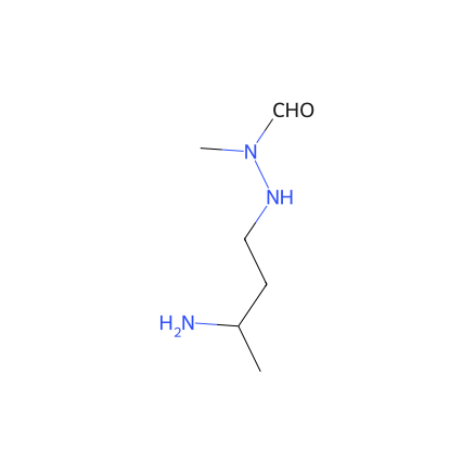 CC(N)CCNN(C)C=O